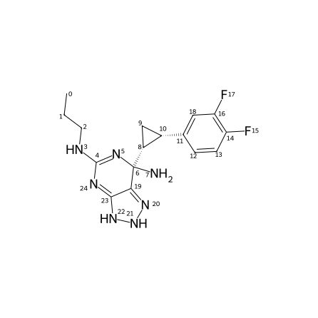 CCCNC1=NC(N)([C@@H]2C[C@@H]2c2ccc(F)c(F)c2)C2=NNNC2=N1